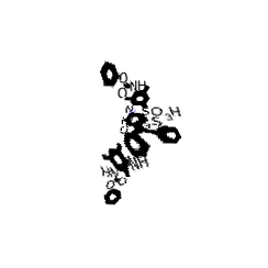 Cc1cc(C)c(NC(=O)Oc2ccccc2)c(C)c1/N=c1/cc2oc3cc(Nc4c(C)cc(C)c(NC(=O)Oc5ccccc5)c4C)ccc3c(-c3ccccc3S(=O)(=O)O)c-2cc1S(=O)(=O)O